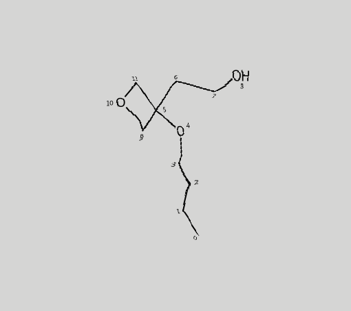 CCCCOC1(CCO)COC1